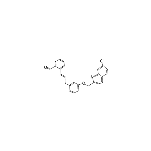 O=Cc1ccccc1C=CCc1cccc(OCc2ccc3ccc(Cl)cc3n2)c1